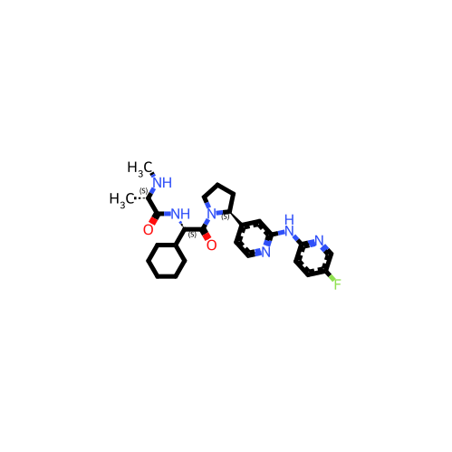 CN[C@@H](C)C(=O)N[C@H](C(=O)N1CCC[C@H]1c1ccnc(Nc2ccc(F)cn2)c1)C1CCCCC1